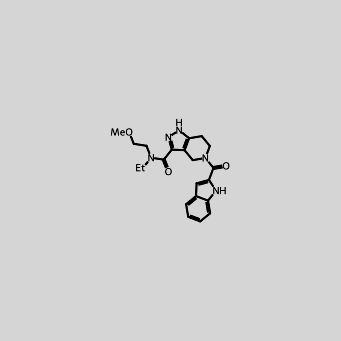 CCN(CCOC)C(=O)c1n[nH]c2c1CN(C(=O)c1cc3ccccc3[nH]1)CC2